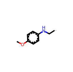 [CH2]CNc1ccc(OC)cc1